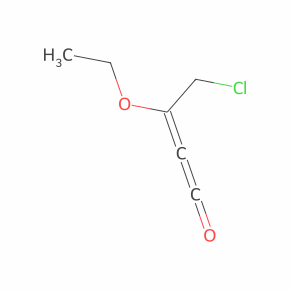 CCOC(=C=C=O)CCl